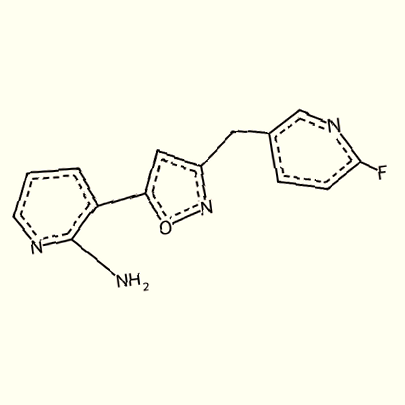 Nc1ncccc1-c1cc(Cc2ccc(F)nc2)no1